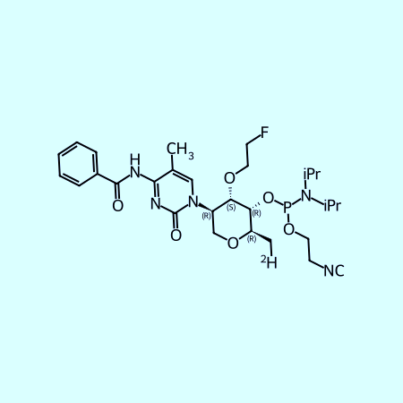 [2H]C[C@H]1OC[C@@H](n2cc(C)c(NC(=O)c3ccccc3)nc2=O)[C@H](OCCF)[C@@H]1OP(OCC[N+]#[C-])N(C(C)C)C(C)C